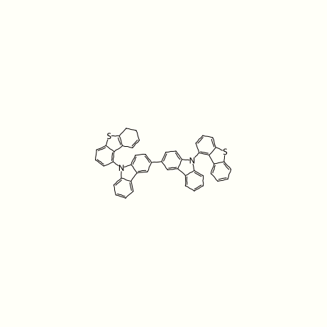 C1=Cc2c(sc3cccc(-n4c5ccccc5c5cc(-c6ccc7c(c6)c6ccccc6n7-c6cccc7sc8ccccc8c67)ccc54)c23)CC1